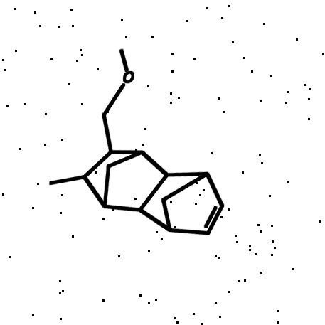 COCC1C(C)C2CC1C1C3C=CC(C3)C21